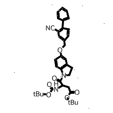 CC(C)(C)OC(=O)CC(NC(=O)OC(C)(C)C)C(=O)N1CCc2cc(OCc3ccc(-c4ccccc4)c(C#N)c3)ccc21